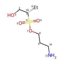 CC[C@@H](CO)S(=O)(=O)OCCCN